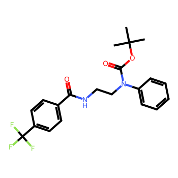 CC(C)(C)OC(=O)N(CCNC(=O)c1ccc(C(F)(F)F)cc1)c1ccccc1